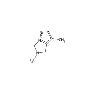 Cc1cnn2c1CN(C)C2